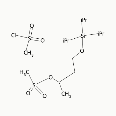 CC(CCO[Si](C(C)C)(C(C)C)C(C)C)OS(C)(=O)=O.CS(=O)(=O)Cl